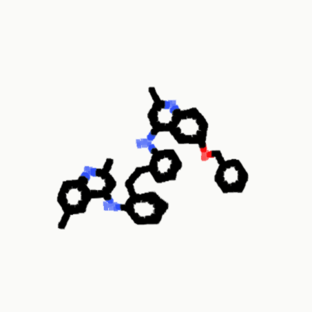 Cc1ccc2nc(C)cc(Nc3ccccc3CCc3ccccc3Nc3cc(C)nc4ccc(OCc5ccccc5)cc34)c2c1